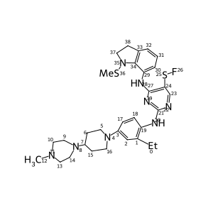 CCc1cc(N2CCC(N3CCN(C)CC3)CC2)ccc1Nc1ncc(SF)c(Nc2cccc3c2N(SC)CC3)n1